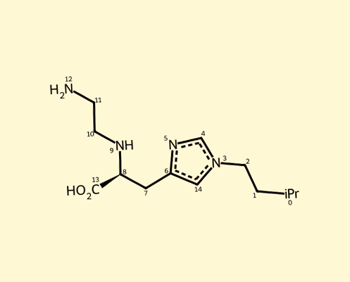 CC(C)CCn1cnc(C[C@H](NCCN)C(=O)O)c1